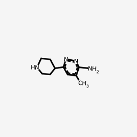 Cc1cc(C2CCNCC2)nnc1N